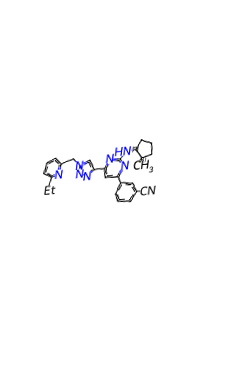 CCc1cccc(Cn2cc(-c3cc(-c4cccc(C#N)c4)nc(N[C@@H]4CCC[C@H]4C)n3)nn2)n1